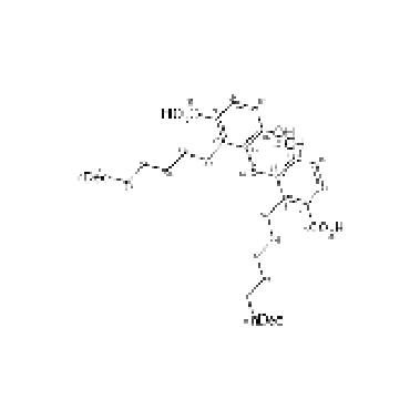 CCCCCCCCCCCCCCCc1c(C(=O)O)ccc(O)c1Sc1c(O)ccc(C(=O)O)c1CCCCCCCCCCCCCCC